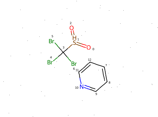 O=[SH](=O)C(Br)(Br)Br.c1ccncc1